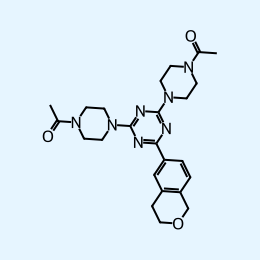 CC(=O)N1CCN(c2nc(-c3ccc4c(c3)CCOC4)nc(N3CCN(C(C)=O)CC3)n2)CC1